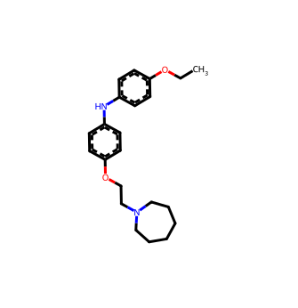 CCOc1ccc(Nc2ccc(OCCN3CCCCCC3)cc2)cc1